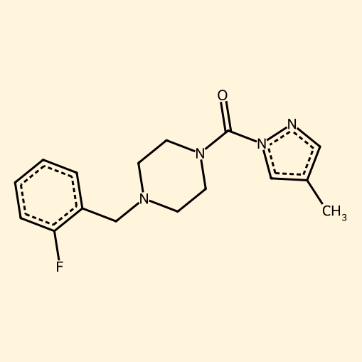 Cc1cnn(C(=O)N2CCN(Cc3ccccc3F)CC2)c1